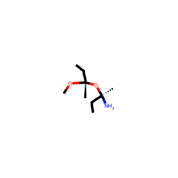 CC[C@@](C)(OC)O[C@@](C)(N)CC